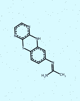 CC(N)=Nc1ccc2c(c1)Nc1nccnc1S2